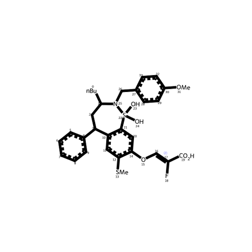 CCCCC1CC(c2ccccc2)c2cc(SC)c(O/C=C(\F)C(=O)O)cc2S(O)(O)N1Cc1ccc(OC)cc1